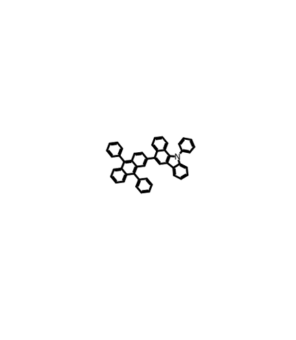 c1ccc(-c2c3ccccc3c(-c3ccccc3)c3cc(-c4cc5c6ccccc6n(-c6ccccc6)c5c5ccccc45)ccc23)cc1